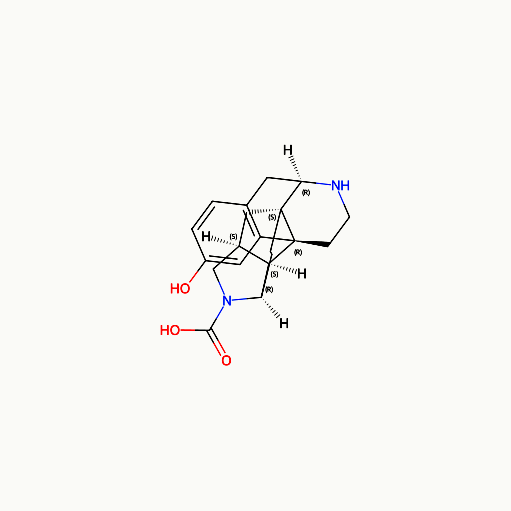 O=C(O)N1C[C@H]2C[C@@]34CC[C@@H]1[C@@H]2[C@@]31CCN[C@@H]4Cc2ccc(O)cc21